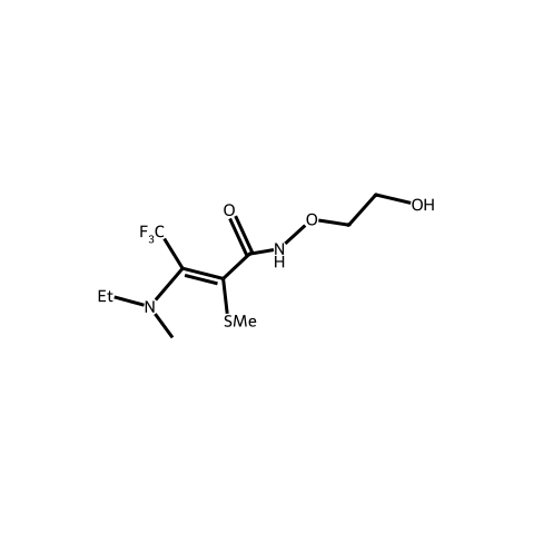 CCN(C)/C(=C(\SC)C(=O)NOCCO)C(F)(F)F